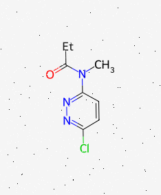 CCC(=O)N(C)c1ccc(Cl)nn1